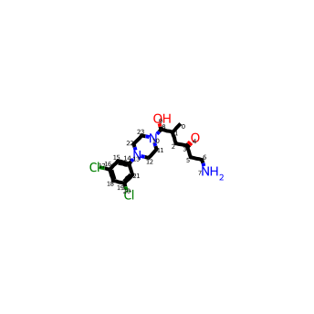 CC(CC(=O)CCN)C(O)N1CCN(c2cc(Cl)cc(Cl)c2)CC1